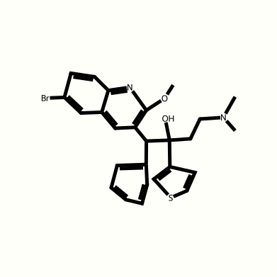 COc1nc2ccc(Br)cc2cc1C(c1ccccc1)C(O)(CCN(C)C)c1ccsc1